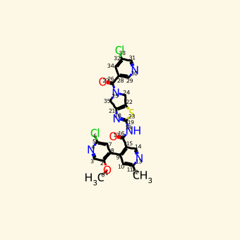 COc1cnc(Cl)cc1-c1cc(C)ncc1C(=O)Nc1nc2c(s1)CN(C(=O)c1cncc(Cl)c1)C2